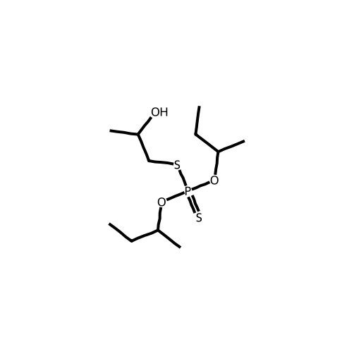 CCC(C)OP(=S)(OC(C)CC)SCC(C)O